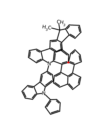 CC1(C)c2ccccc2-c2ccc(-c3ccccc3N(c3ccc4c(c3)c3ccccc3n4-c3ccccc3)c3ccccc3-c3cccc4cccc(-c5ccccc5)c34)cc21